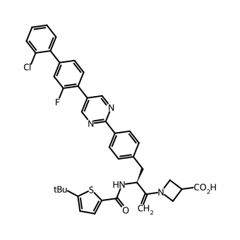 C=C([C@H](Cc1ccc(-c2ncc(-c3ccc(-c4ccccc4Cl)cc3F)cn2)cc1)NC(=O)c1ccc(C(C)(C)C)s1)N1CC(C(=O)O)C1